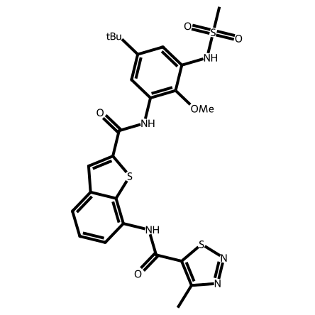 COc1c(NC(=O)c2cc3cccc(NC(=O)c4snnc4C)c3s2)cc(C(C)(C)C)cc1NS(C)(=O)=O